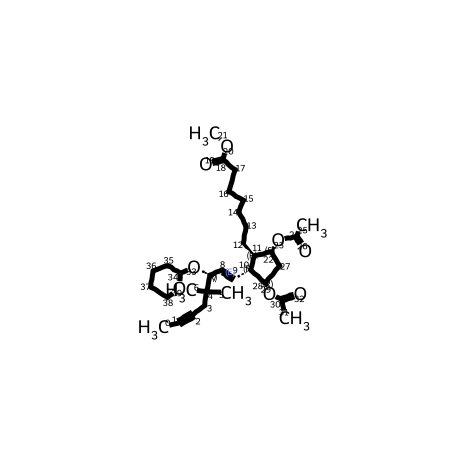 CC#CCC(C)(C)[C@@H](/C=C/[C@@H]1[C@@H](CCCCCCC(=O)OC)[C@@H](OC(C)=O)C[C@H]1OC(C)=O)OC1CCCCO1